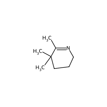 CC1=NCCCC1(C)C